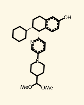 COC(OC)C1CCN(c2ccc([C@H]3c4ccc(O)cc4CC[C@H]3C3CCCCC3)nc2)CC1